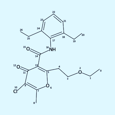 CCOCCc1oc(C)c(Cl)c(=O)c1C(=O)Nc1c(CC)cccc1CC